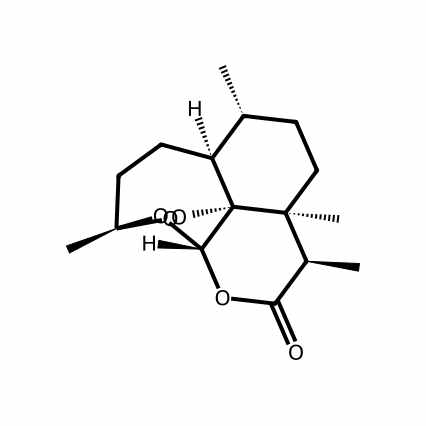 C[C@@H]1CC[C@@]2(C)[C@@H](C)C(=O)O[C@@H]3O[C@@]4(C)CC[C@@H]1[C@]32OO4